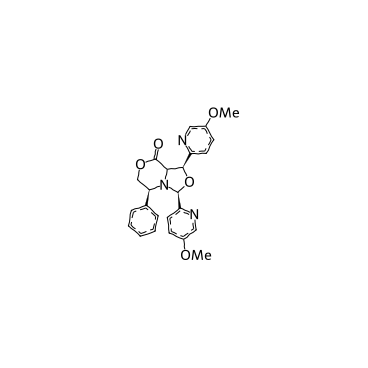 COc1ccc([C@H]2O[C@@H](c3ccc(OC)cn3)N3C2C(=O)OC[C@@H]3c2ccccc2)nc1